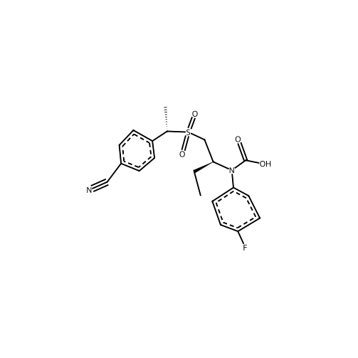 CC[C@@H](CS(=O)(=O)[C@@H](C)c1ccc(C#N)cc1)N(C(=O)O)c1ccc(F)cc1